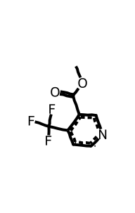 COC(=O)c1cn[c]cc1C(F)(F)F